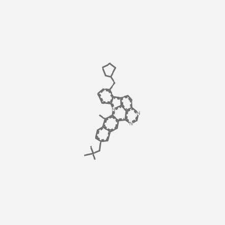 Cc1c2ccc(CC(C)(C)C)cc2cc2c3ncnc4ccc5c6c(CC7CCCC7)cccc6n(c12)c5c43